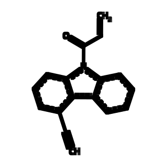 C#Cc1cccc2c1c1ccccc1n2C(=O)C=C